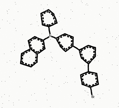 Brc1ccc(-c2cccc(-c3ccc(N(c4ccccc4)c4ccc5ccccc5c4)cc3)c2)cc1